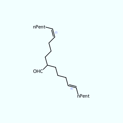 CCCCC/C=C\CCCC(C=O)CCC/C=C/CCCCC